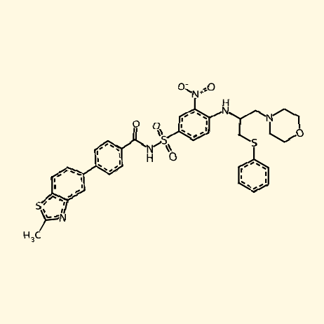 Cc1nc2cc(-c3ccc(C(=O)NS(=O)(=O)c4ccc(NC(CSc5ccccc5)CN5CCOCC5)c([N+](=O)[O-])c4)cc3)ccc2s1